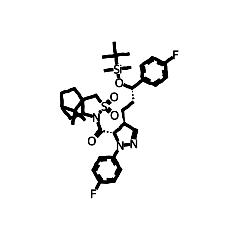 CC1(C)C2CCC13CS(=O)(=O)N(C(=O)[C@@H]1[C@@H](CC[C@H](O[Si](C)(C)C(C)(C)C)c4ccc(F)cc4)C=NN1c1ccc(F)cc1)C3C2